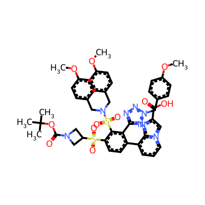 COc1ccc(CN(Cc2ccc(OC)cc2)S(=O)(=O)c2c(S(=O)(=O)C3CN(C(=O)OC(C)(C)C)C3)ccc(-c3cccn4cc(C(=O)O)nc34)c2-c2nnn(Cc3ccc(OC)cc3)n2)cc1